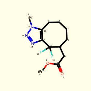 CC(C)OC(=O)CC1CCCCc2c(nnn2C(C)C)C1(F)F